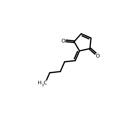 CCCCC=C1C(=O)C=CC1=O